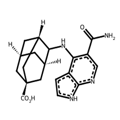 NC(=O)c1cnc2[nH]ccc2c1NC1[C@@H]2C[C@@H]3C[C@H]1C[C@@](C(=O)O)(C3)C2